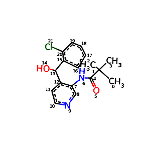 CC(C)(C)C(=O)Nc1cnccc1C(O)c1ccccc1Cl